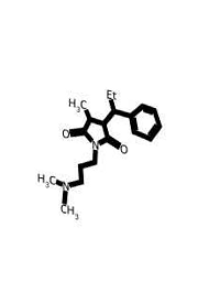 CCC(c1ccccc1)C1C(=O)N(CCCN(C)C)C(=O)C1C